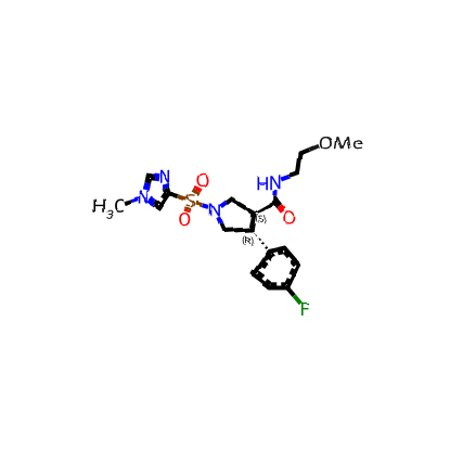 COCCNC(=O)[C@@H]1CN(S(=O)(=O)c2cn(C)cn2)C[C@H]1c1ccc(F)cc1